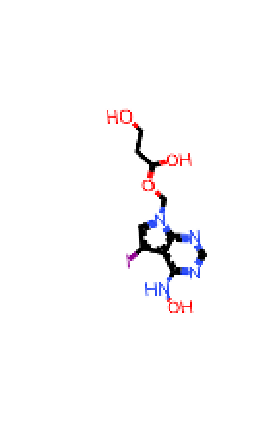 OCCC(O)OCn1cc(I)c2c(NO)ncnc21